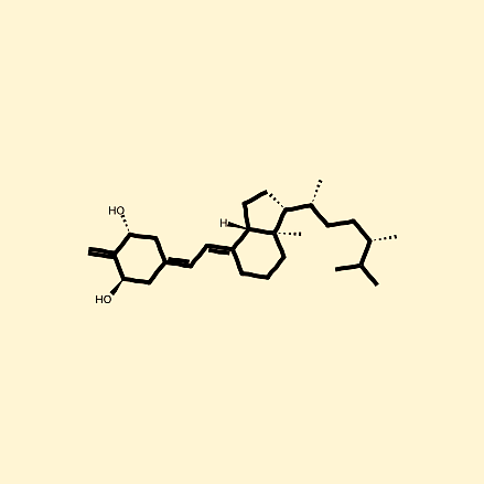 C=C1[C@H](O)CC(=C/C=C2\CCC[C@]3(C)[C@@H]([C@H](C)CC[C@H](C)C(C)C)CC[C@@H]23)C[C@H]1O